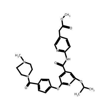 COC(=O)Cc1ccc(NC(=O)c2cc(Oc3ccc(C(=O)N4CCN(C)CC4)cc3)nc(OC(C)C)c2)nc1